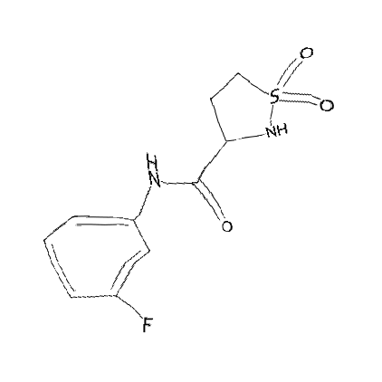 O=C(Nc1cccc(F)c1)C1CCS(=O)(=O)N1